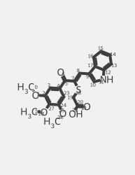 COc1cc(C(=O)/C(=C/c2c[nH]c3ccccc23)SCC(=O)O)cc(OC)c1OC